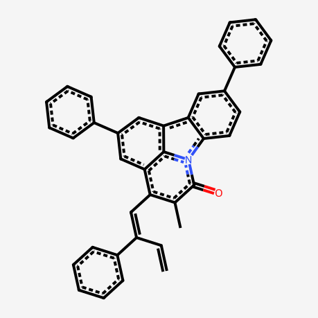 C=C/C(=C\c1c(C)c(=O)n2c3ccc(-c4ccccc4)cc3c3cc(-c4ccccc4)cc1c32)c1ccccc1